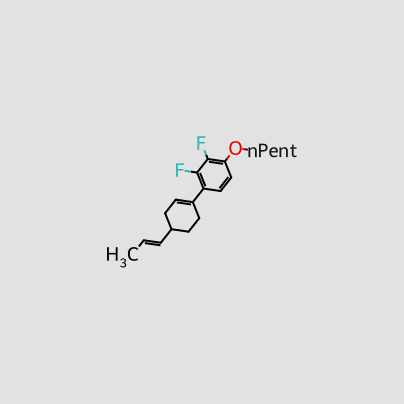 C/C=C/C1CC=C(c2ccc(OCCCCC)c(F)c2F)CC1